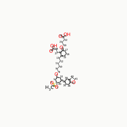 CS(=O)(=O)c1cc(OCCCCCCc2cccc(OCCCC(=O)O)c2CCC(=O)O)cc(-c2ccc3c(c2)CCO3)c1